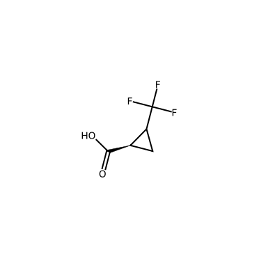 O=C(O)[C@@H]1CC1C(F)(F)F